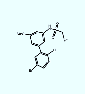 COc1cc(NS(=O)(=O)CC(C)C)cc(-c2cc(Br)cnc2Cl)c1